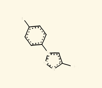 O=Cc1cn(-c2ccc(F)cc2)nn1